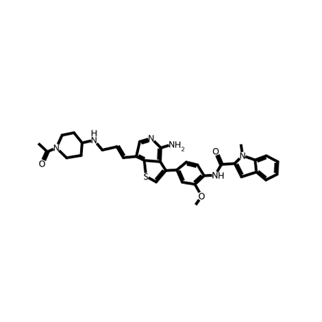 COc1cc(-c2csc3c(/C=C/CNC4CCN(C(C)=O)CC4)cnc(N)c23)ccc1NC(=O)c1cc2ccccc2n1C